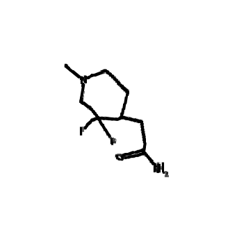 CN1CCC(CC(N)=O)C(F)(F)C1